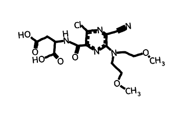 COCCN(CCOC)c1nc(C(=O)NC(CC(=O)O)C(=O)O)c(Cl)nc1C#N